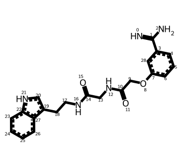 N=C(N)c1cccc(OCC(=O)NCC(=O)NCCc2c[nH]c3ccccc23)c1